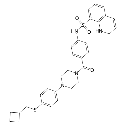 O=C(c1ccc(NS(=O)(=O)c2cccc3c2NCC=C3)cc1)N1CCN(c2ccc(SCC3CCC3)cc2)CC1